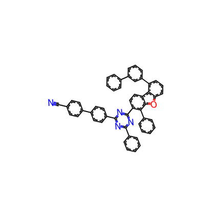 N#Cc1ccc(-c2ccc(-c3nc(-c4ccccc4)nc(-c4ccc5c(oc6cccc(-c7cccc(-c8ccccc8)c7)c65)c4-c4ccccc4)n3)cc2)cc1